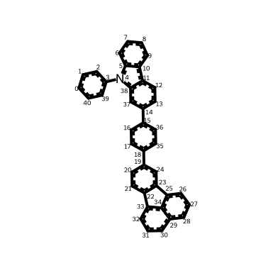 c1ccc(-n2c3ccccc3c3ccc(-c4ccc(-c5ccc6c(c5)-c5cccc7cccc-6c57)cc4)cc32)cc1